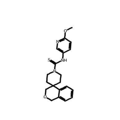 COc1ccc(NC(=S)N2CCC3(CC2)COCc2ccccc23)cn1